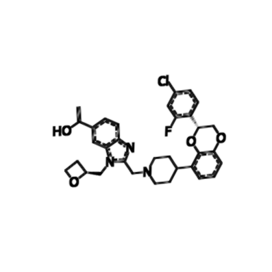 C=C(O)c1ccc2nc(CN3CCC(c4cccc5c4O[C@H](c4ccc(Cl)cc4F)CO5)CC3)n(C[C@@H]3CCO3)c2c1